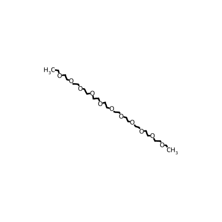 CCOCCOCCOCCOCCOCCOCCOCCOCCOCCOCCOCC